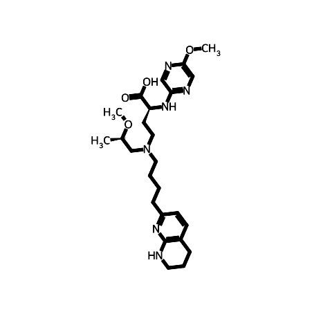 COc1cnc(N[C@@H](CCN(CCCCc2ccc3c(n2)NCCC3)C[C@@H](C)OC)C(=O)O)cn1